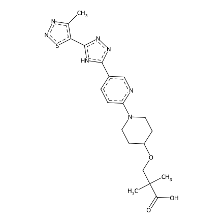 Cc1nnsc1-c1nnc(-c2ccc(N3CCC(OCC(C)(C)C(=O)O)CC3)nc2)[nH]1